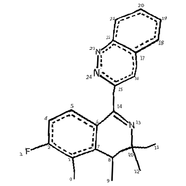 Cc1c(F)ccc2c1C(C)C(C)(C)N=C2c1cc2ccccc2nn1